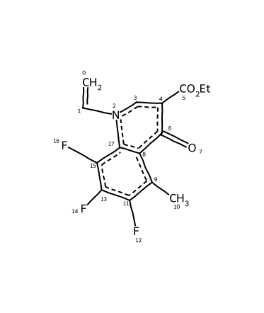 C=Cn1cc(C(=O)OCC)c(=O)c2c(C)c(F)c(F)c(F)c21